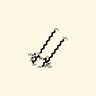 CCCCCCCCCCCCC(CC(=O)O)(C(=O)O)S(=O)(=O)O.CCCCCCCCCCCCOC(=O)C(CC(=O)O)S(=O)(=O)O